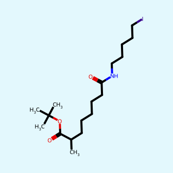 CC(CCCCCC(=O)NCCCCCI)C(=O)OC(C)(C)C